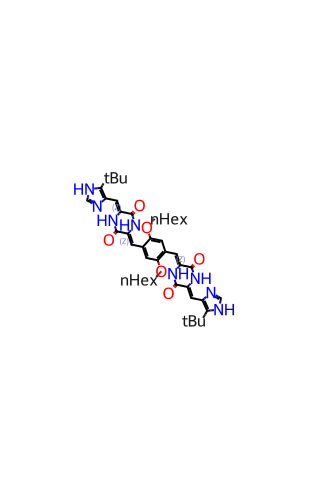 CCCCCCOc1cc(/C=c2\[nH]c(=O)/c(=C/c3nc[nH]c3C(C)(C)C)[nH]c2=O)c(OCCCCCC)cc1/C=c1\[nH]c(=O)c(=Cc2nc[nH]c2C(C)(C)C)[nH]c1=O